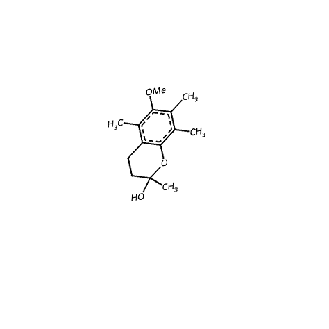 COc1c(C)c(C)c2c(c1C)CCC(C)(O)O2